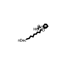 CCCCCCCCCCCCCCCCCCC(Oc1ccccc1)P(=O)(O)O